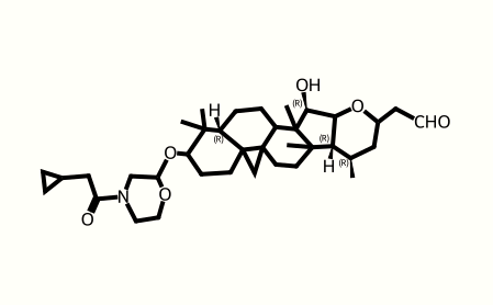 C[C@@H]1CC(CC=O)OC2[C@H]1C1(C)CCC34CC35CCC(OC3CN(C(=O)CC6CC6)CCO3)C(C)(C)[C@@H]5CCC4C1(C)[C@H]2O